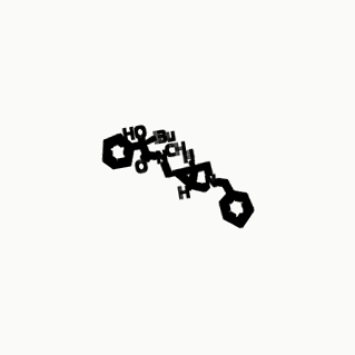 CCC(C)[C@@](O)(C(=O)N(C)C[C@H]1[C@@H]2CN(Cc3ccccc3)C[C@@H]21)c1ccccc1